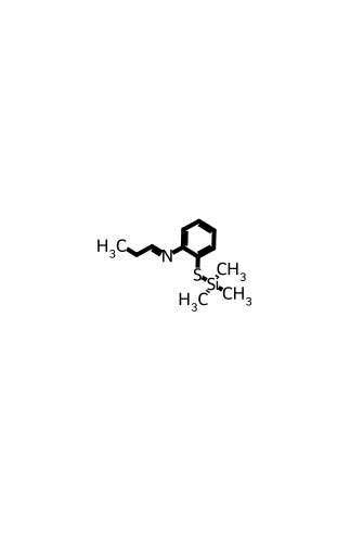 CCC=Nc1ccccc1S[Si](C)(C)C